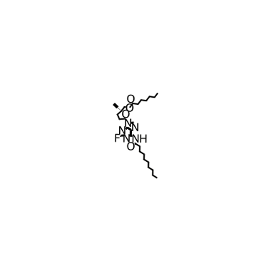 C#C[C@@]1(COC(=O)CCCCCC)CC[C@H](n2cnc3c(NC(=O)CCCCCCCCC)nc(F)nc32)O1